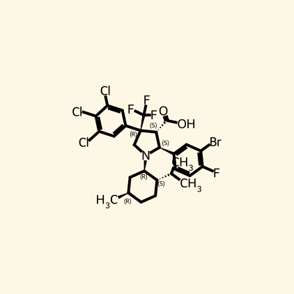 CC(C)[C@@H]1CC[C@@H](C)C[C@H]1N1C[C@@](c2cc(Cl)c(Cl)c(Cl)c2)(C(F)(F)F)[C@H](C(=O)O)[C@H]1c1ccc(F)c(Br)c1